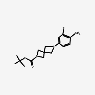 CC(C)(C)OC(=O)N1CC2(C1)CN(c1ccc(N)c(F)c1)C2